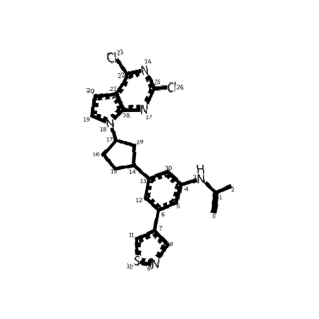 C=C(C)Nc1cc(-c2cnsc2)cc(C2CCC(n3ccc4c(Cl)nc(Cl)nc43)C2)c1